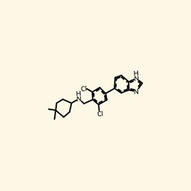 CC1(C)CCC(NCc2c(Cl)cc(-c3ccc4[nH]cnc4c3)cc2Cl)CC1